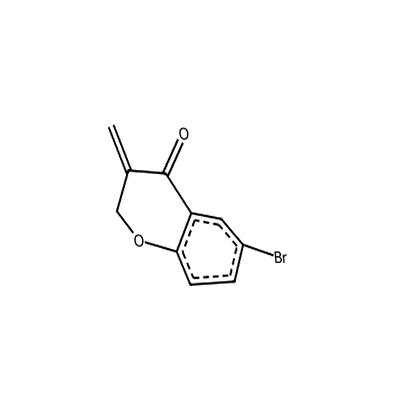 C=C1COc2ccc(Br)cc2C1=O